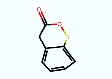 O=C1Cc2ccccc2SO1